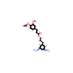 COc1cc(/C=C/C(=O)OCCCc2cc(N)cc(N)c2)ccc1OC#N